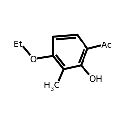 CCOc1ccc(C(C)=O)c(O)c1C